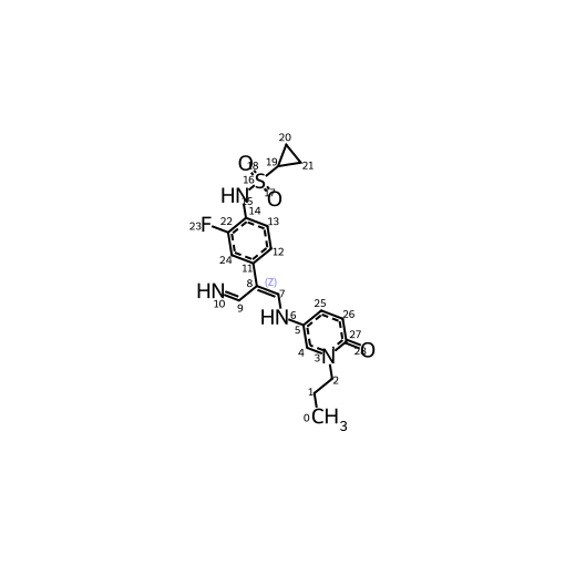 CCCn1cc(N/C=C(\C=N)c2ccc(NS(=O)(=O)C3CC3)c(F)c2)ccc1=O